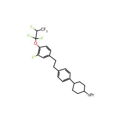 CCCC1CCC(c2ccc(CCc3ccc(OC(F)(F)C(F)C(F)(F)F)c(F)c3)cc2)CC1